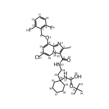 Cc1nc2c(OCc3c(F)cccc3F)cc(Cl)cn2c1C(=O)NCCC1(NC(O)OC(C)(C)C)CCCCC1